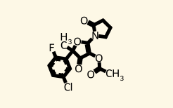 CC(=O)OC1=C(N2CCCC2=O)OC(C)(c2cc(Cl)ccc2F)C1=O